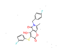 Cc1cc2oc(=O)c(Sc3cccc(F)c3)c(O)c2c(=O)n1Cc1ccc(F)cc1